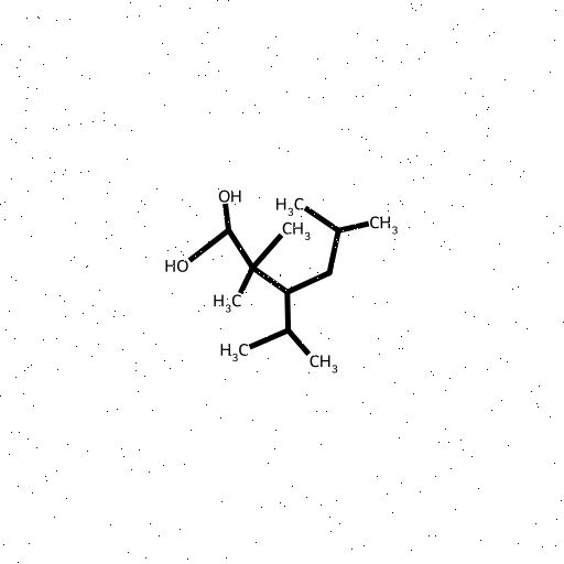 CC(C)CC(C(C)C)C(C)(C)C(O)O